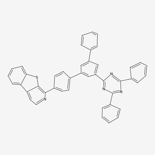 c1ccc(-c2cc(-c3ccc(-c4nccc5c4sc4ccccc45)cc3)cc(-c3nc(-c4ccccc4)nc(-c4ccccc4)n3)c2)cc1